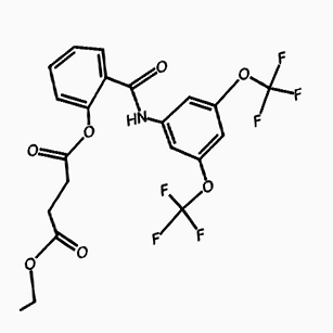 CCOC(=O)CCC(=O)Oc1ccccc1C(=O)Nc1cc(OC(F)(F)F)cc(OC(F)(F)F)c1